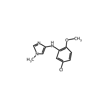 COc1ccc(Cl)cc1Nc1cn(C)cn1